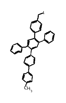 Cc1ccc(-c2ccc(-c3cc(-c4ccccc4)c(-c4ccc(CI)cc4)cc3-c3ccccc3)cc2)cc1